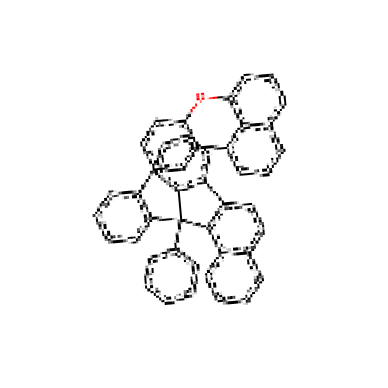 c1ccc(C2(c3ccccc3-c3ccc4c(c3)-c3cccc5cccc(c35)O4)c3ccccc3-c3ccc4ccccc4c32)cc1